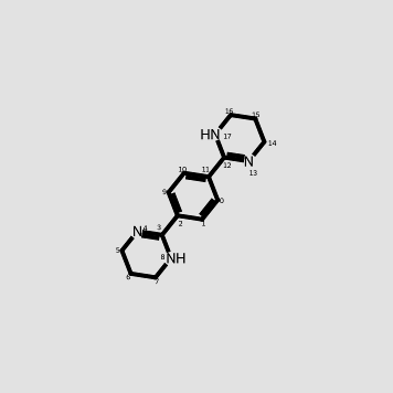 c1cc(C2=NCCCN2)ccc1C1=NCCCN1